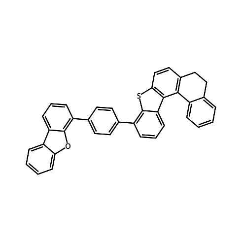 c1ccc2c(c1)CCc1ccc3sc4c(-c5ccc(-c6cccc7c6oc6ccccc67)cc5)cccc4c3c1-2